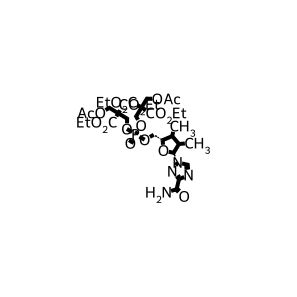 CCOC(=O)C(COC(C)=O)(COP(=O)(OC[C@H]1O[C@@H](n2cnc(C(N)=O)n2)C(C)C1C)OCC(COC(C)=O)(C(=O)OCC)C(=O)OCC)C(=O)OCC